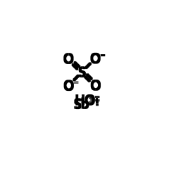 O=S(=O)([O-])[O-].[OH-].[Sb+3]